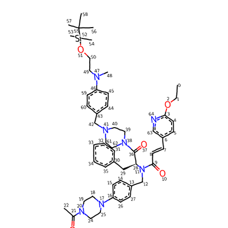 CCOc1ccc(C=CC(=O)N(Cc2ccc(N3CCN(C(C)=O)CC3)cc2)[C@@H](Cc2ccccc2)C(=O)N2CCN(Cc3ccc(N(C)CCO[Si](C)(C)C(C)(C)C)cc3)CC2)cn1